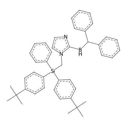 CC(C)(C)c1ccc([Si](Cn2ccnc2BC(c2ccccc2)c2ccccc2)(c2ccccc2)c2ccc(C(C)(C)C)cc2)cc1